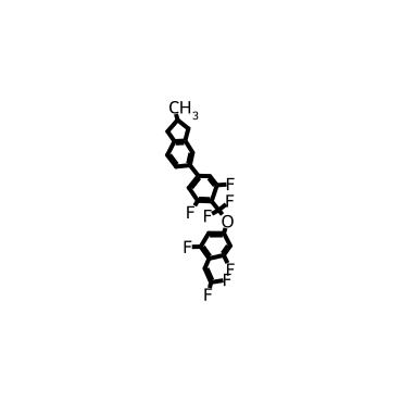 CC1Cc2ccc(-c3cc(F)c(C(F)(F)Oc4cc(F)c(C=C(F)F)c(F)c4)c(F)c3)cc2C1